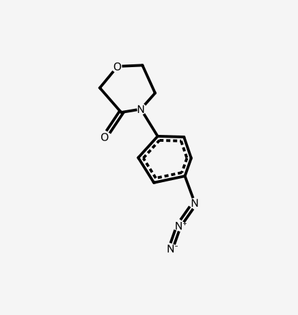 [N-]=[N+]=Nc1ccc(N2CCOCC2=O)cc1